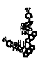 CC(N1CCC(N(C)C)CC1)S(=O)(=O)NC(=O)Nc1c2c(cc3c1C(C1CCc4c1cc1c(c4NC(=O)NS(=O)(=O)CC4(N5CCC(N(C)C)CC5)CC4)CCC1)CC3)CCC2